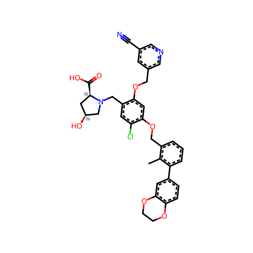 Cc1c(COc2cc(OCc3cncc(C#N)c3)c(CN3C[C@@H](O)C[C@H]3C(=O)O)cc2Cl)cccc1-c1ccc2c(c1)OCCO2